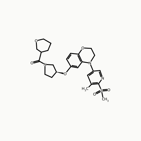 Cc1cc(N2CCOc3ccc(O[C@H]4CCN(C(=O)C5CCCOC5)C4)cc32)cnc1S(C)(=O)=O